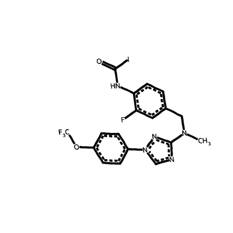 CN(Cc1ccc(NC(=O)I)c(F)c1)c1ncn(-c2ccc(OC(F)(F)F)cc2)n1